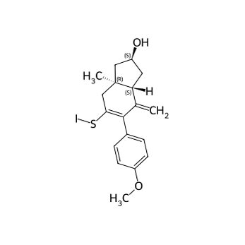 C=C1C(c2ccc(OC)cc2)=C(SI)C[C@@]2(C)C[C@@H](O)C[C@H]12